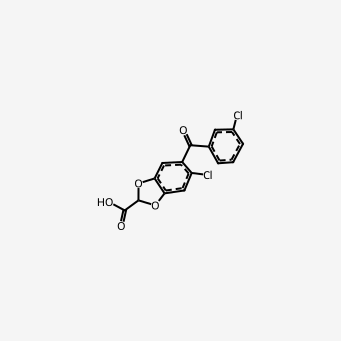 O=C(c1cccc(Cl)c1)c1cc2c(cc1Cl)OC(C(=O)O)O2